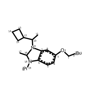 CCC(C)COc1ccc2c(c1)N(C(C)C1CCC1)C(C)N2C(C)C